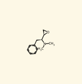 CN(C)[C@@H](Cc1ccccc1)[C@H]1CO1